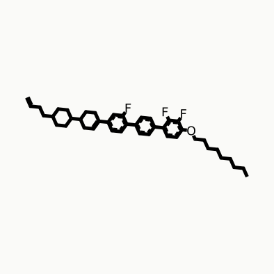 C=CCCC1CCC(C2CC=C(c3ccc(-c4ccc(-c5ccc(OCCCCCCCCC)c(F)c5F)cc4)c(F)c3)CC2)CC1